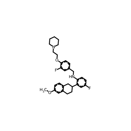 COc1ccc2c(c1)CCC(c1cc(F)ccc1NCc1ccc(OCCN3CCCCC3)c(F)c1)C2